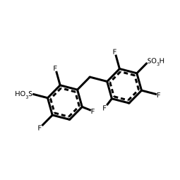 O=S(=O)(O)c1c(F)cc(F)c(Cc2c(F)cc(F)c(S(=O)(=O)O)c2F)c1F